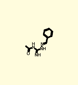 CC(=O)NC(=N)NN=Cc1ccccc1